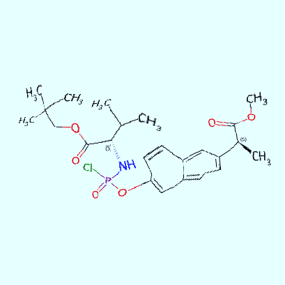 COC(=O)[C@@H](C)c1ccc2cc(OP(=O)(Cl)N[C@H](C(=O)OCC(C)(C)C)C(C)C)ccc2c1